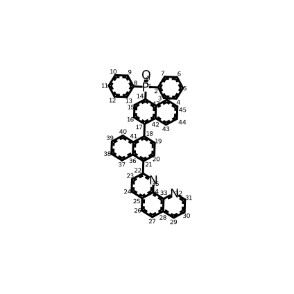 O=P(c1ccccc1)(c1ccccc1)c1ccc(-c2ccc(-c3ccc4ccc5cccnc5c4n3)c3ccccc23)c2ccccc12